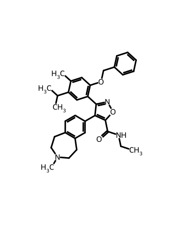 CCNC(=O)c1onc(-c2cc(C(C)C)c(C)cc2OCc2ccccc2)c1-c1ccc2c(c1)CCN(C)CC2